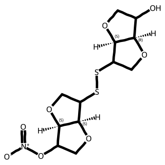 O=[N+]([O-])OC1CO[C@@H]2C(SSC3CO[C@@H]4C(O)CO[C@H]34)CO[C@H]12